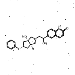 O=c1ccc2cc(C(O)CN3C[C@H]4C[C@H](Oc5ccccc5)C[C@@]4(O)C3)ccc2[nH]1